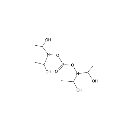 CC(O)N(OS(=O)ON(C(C)O)C(C)O)C(C)O